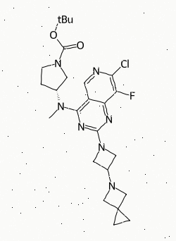 CN(c1nc(N2CC(N3CC4(CC4)C3)C2)nc2c(F)c(Cl)ncc12)[C@@H]1CCN(C(=O)OC(C)(C)C)C1